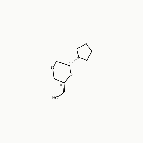 OC[C@H]1COC[C@H](C2CCCC2)O1